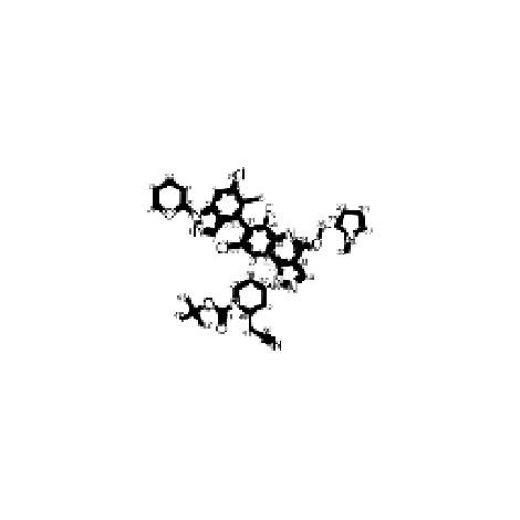 Cc1c(Cl)cc2c(cnn2C2CCCCO2)c1-c1c(Cl)cc2c(nc(OC[C@@H]3CCCN3C)c3cnn([C@H]4CCN(C(=O)OC(C)(C)C)[C@H](CC#N)C4)c32)c1F